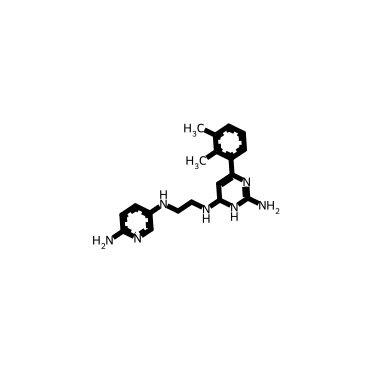 Cc1cccc(C2=CC(NCCNc3ccc(N)nc3)NC(N)=N2)c1C